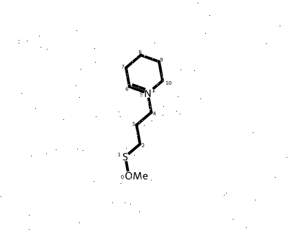 COSCCC[N+]1=CCCCC1